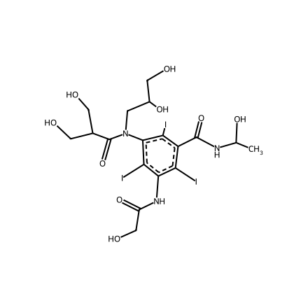 CC(O)NC(=O)c1c(I)c(NC(=O)CO)c(I)c(N(CC(O)CO)C(=O)C(CO)CO)c1I